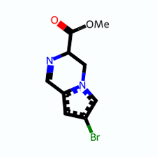 COC(=O)C1Cn2cc(Br)cc2C=N1